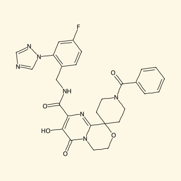 O=C(NCc1ccc(F)cc1-n1cncn1)c1nc2n(c(=O)c1O)CCOC21CCN(C(=O)c2ccccc2)CC1